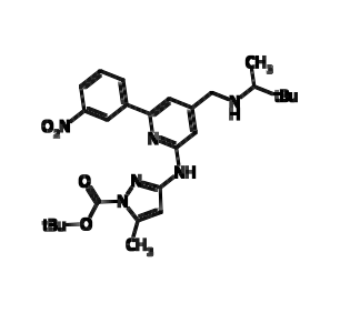 Cc1cc(Nc2cc(CNC(C)C(C)(C)C)cc(-c3cccc([N+](=O)[O-])c3)n2)nn1C(=O)OC(C)(C)C